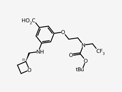 CC(C)(C)OC(=O)N(CCOc1cc(NC[C@@H]2CCO2)cc(C(=O)O)c1)CC(F)(F)F